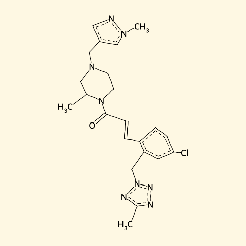 Cc1nnn(Cc2cc(Cl)ccc2C=CC(=O)N2CCN(Cc3cnn(C)c3)CC2C)n1